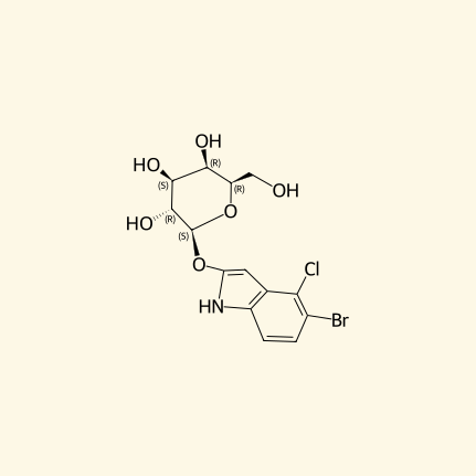 OC[C@H]1O[C@@H](Oc2cc3c(Cl)c(Br)ccc3[nH]2)[C@H](O)[C@@H](O)[C@H]1O